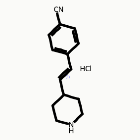 Cl.N#Cc1ccc(/C=C/C2CCNCC2)cc1